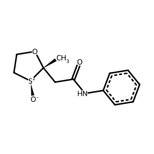 C[C@]1(CC(=O)Nc2ccccc2)OCC[S@+]1[O-]